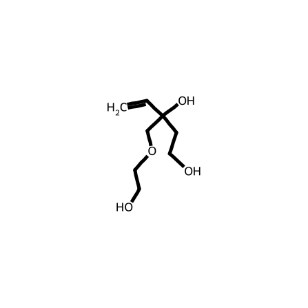 C=CC(O)(CCO)COCCO